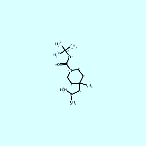 C[C@@H](N)CC1(C)CCN(C(=O)OC(C)(C)C)CC1